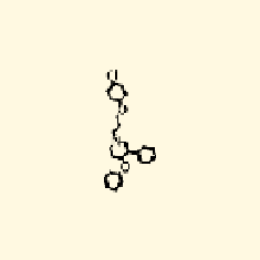 Clc1ccc(OCCCN2CCC(Oc3ccccc3)C(c3ccccc3)C2)cc1